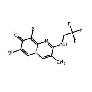 Cc1cn2cc(Br)c(=O)c(Br)c2nc1NCC(F)(F)F